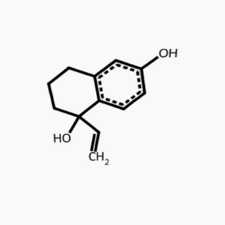 C=CC1(O)CCCc2cc(O)ccc21